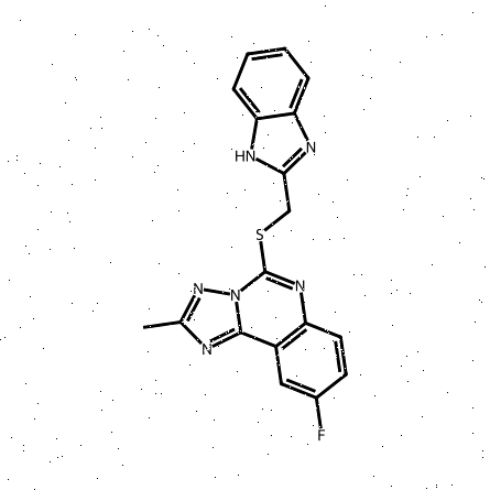 Cc1nc2c3cc(F)ccc3nc(SCc3nc4ccccc4[nH]3)n2n1